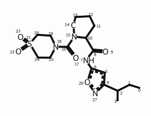 CCC(C)c1cc(NC(=O)C2CCCCN2C(=O)N2CCS(=O)(=O)CC2)on1